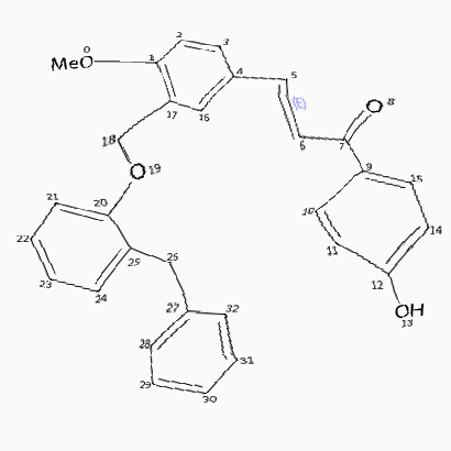 COc1ccc(/C=C/C(=O)c2ccc(O)cc2)cc1COc1ccccc1Cc1ccccc1